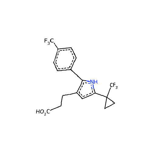 O=C(O)CCc1cc(C2(C(F)(F)F)CC2)[nH]c1-c1ccc(C(F)(F)F)cc1